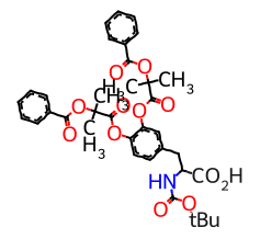 CC(C)(C)OC(=O)NC(Cc1ccc(OC(=O)C(C)(C)OC(=O)c2ccccc2)c(OC(=O)C(C)(C)OC(=O)c2ccccc2)c1)C(=O)O